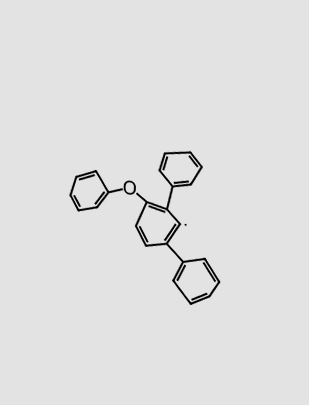 [c]1c(-c2ccccc2)ccc(Oc2ccccc2)c1-c1ccccc1